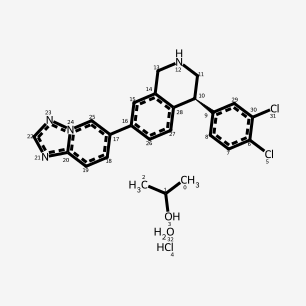 CC(C)O.Cl.Clc1ccc([C@@H]2CNCc3cc(-c4ccc5ncnn5c4)ccc32)cc1Cl.O